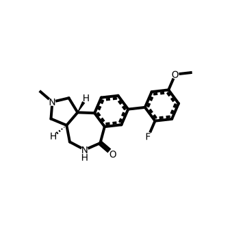 COc1ccc(F)c(-c2ccc3c(c2)C(=O)NC[C@H]2CN(C)C[C@H]32)c1